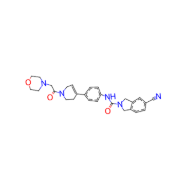 N#Cc1ccc2c(c1)CN(C(=O)Nc1ccc(C3=CCN(C(=O)CN4CCOCC4)CC3)cc1)C2